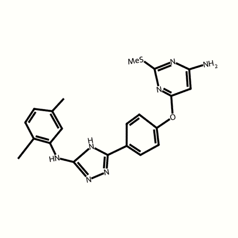 CSc1nc(N)cc(Oc2ccc(-c3nnc(Nc4cc(C)ccc4C)[nH]3)cc2)n1